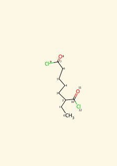 CCC(CCCCC(=O)Cl)C(=O)Cl